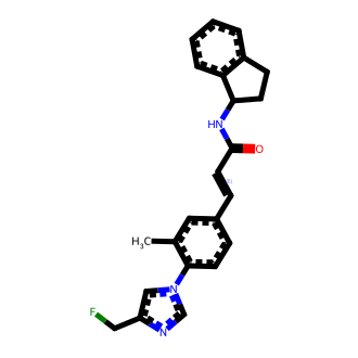 Cc1cc(/C=C/C(=O)NC2CCc3ccccc32)ccc1-n1cnc(CF)c1